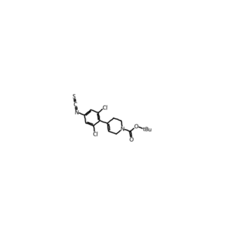 CC(C)(C)OC(=O)N1CC=C(c2c(Cl)cc(N=C=S)cc2Cl)CC1